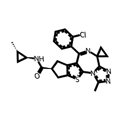 Cc1nnc2n1-c1sc3c(c1C(c1ccccc1Cl)=NC21CC1)C[C@H](C(=O)N[C@H]1C[C@@H]1C)C3